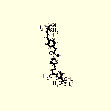 C=C(CSc1cnc(NC(=O)Cc2ccc(CNCC(C)(C)CO)cc2)s1)c1ncc(C(C)(C)C)o1